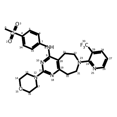 CS(=O)(=O)c1ccc(Nc2nc(N3CCOCC3)nc3c2CCN(c2ncccc2C(F)(F)F)CC3)cc1